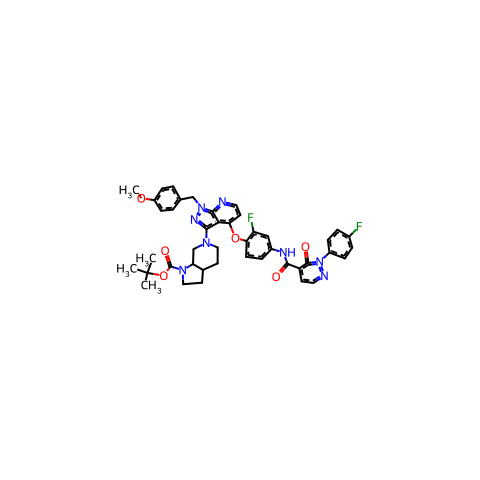 COc1ccc(Cn2nc(N3CCC4CCN(C(=O)OC(C)(C)C)C4C3)c3c(Oc4ccc(NC(=O)c5ccnn(-c6ccc(F)cc6)c5=O)cc4F)ccnc32)cc1